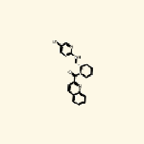 O=C(c1ccc2ccccc2n1)N1CCCC[C@H]1CNc1ncc(Br)cn1